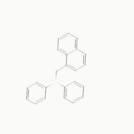 c1ccc([S+](Cc2cccc3ccccc23)c2ccccc2)cc1